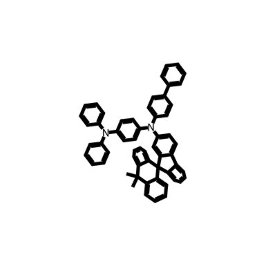 CC1(C)c2ccccc2C2(c3ccccc3-c3ccc(N(c4ccc(-c5ccccc5)cc4)c4ccc(N(c5ccccc5)c5ccccc5)cc4)cc32)c2ccccc21